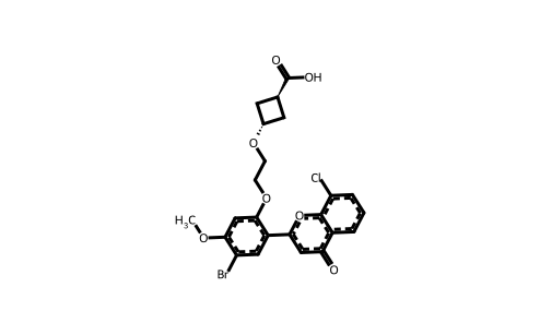 COc1cc(OCCO[C@H]2C[C@H](C(=O)O)C2)c(-c2cc(=O)c3cccc(Cl)c3o2)cc1Br